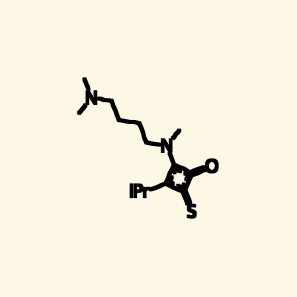 CC(C)c1c(N(C)CCCCN(C)C)c(=O)c1=S